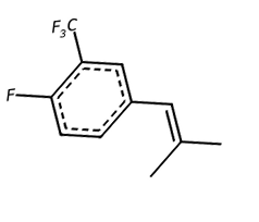 CC(C)=Cc1ccc(F)c(C(F)(F)F)c1